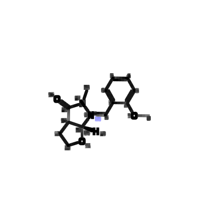 COc1ccccc1/C=[N+]1/[C@@H]2OCCC2C(=O)N1C